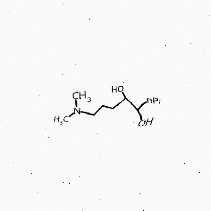 CCCC(O)C(O)CCCN(C)C